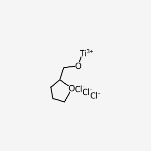 [Cl-].[Cl-].[Cl-].[Ti+3][O]CC1CCCO1